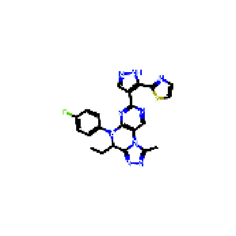 CCC1c2nnc(C)n2-c2cnc(-c3cn[nH]c3-c3nccs3)nc2N1c1ccc(F)cc1